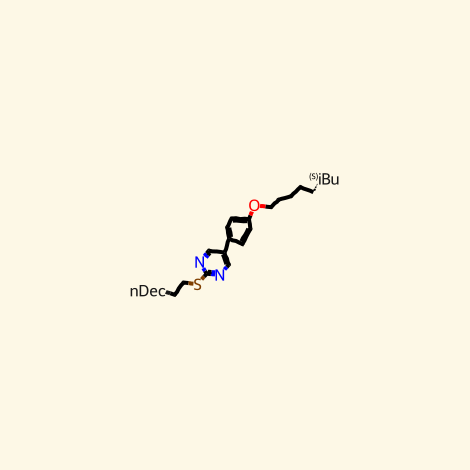 CCCCCCCCCCCCSc1ncc(-c2ccc(OCCCCC[C@@H](C)CC)cc2)cn1